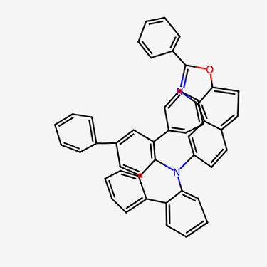 c1ccc(-c2ccc(N(c3ccc4ccc5oc(-c6ccccc6)nc5c4c3)c3ccccc3-c3ccccc3)c(-c3ccccc3)c2)cc1